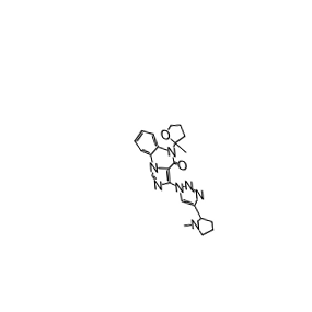 CN1CCCC1c1cn(-c2ncn3c2c(=O)n(C2(C)CCCO2)c2ccccc23)nn1